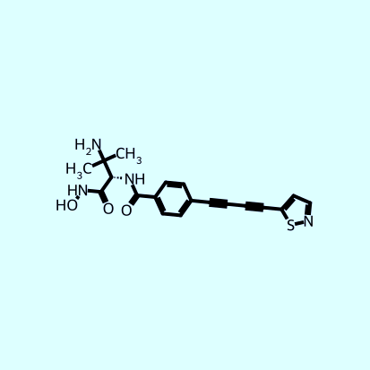 CC(C)(N)[C@H](NC(=O)c1ccc(C#CC#Cc2ccns2)cc1)C(=O)NO